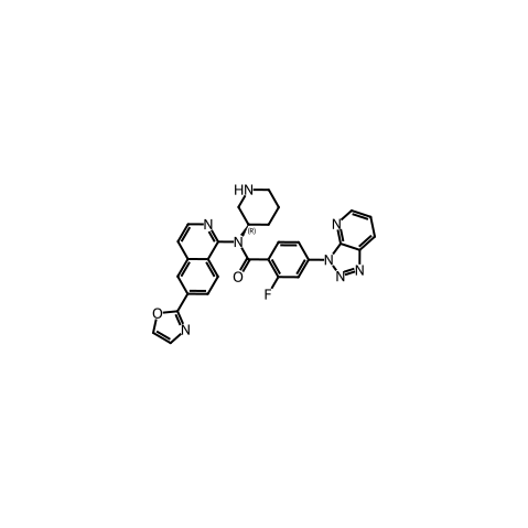 O=C(c1ccc(-n2nnc3cccnc32)cc1F)N(c1nccc2cc(-c3ncco3)ccc12)[C@@H]1CCCNC1